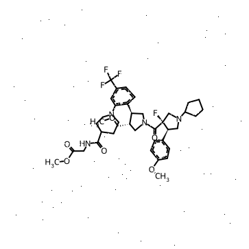 COC[C@H]1CN(C(=O)[C@]2(F)CN(C3CCCC3)C[C@H]2c2ccc(OC)cc2)C[C@@H]1c1ccc(C(F)(F)F)cc1N1CCC(C(=O)NCC(=O)OC)CC1